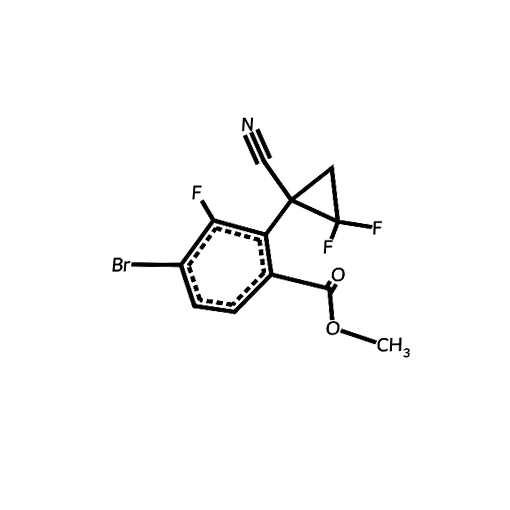 COC(=O)c1ccc(Br)c(F)c1C1(C#N)CC1(F)F